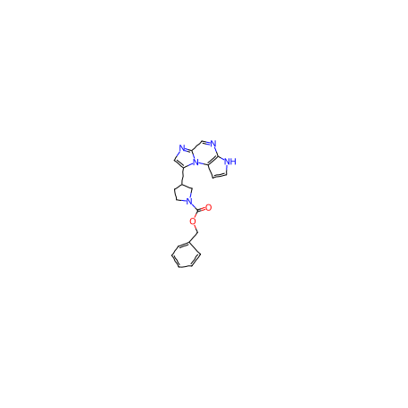 O=C(OCc1ccccc1)N1CCC(c2cnc3cnc4[nH]ccc4n23)C1